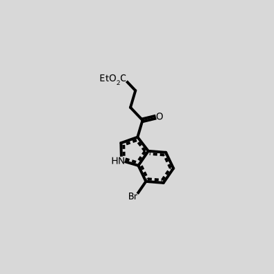 CCOC(=O)CCC(=O)c1c[nH]c2c(Br)cccc12